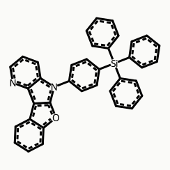 c1ccc([Si](c2ccccc2)(c2ccccc2)c2ccc(-n3c4cccnc4c4c5ccccc5oc43)cc2)cc1